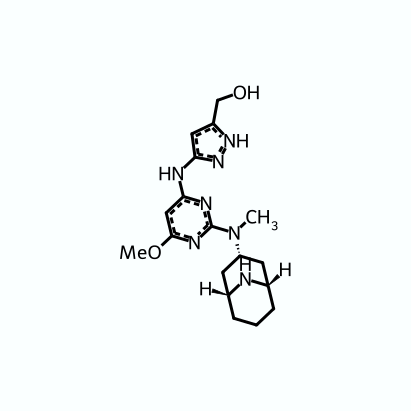 COc1cc(Nc2cc(CO)[nH]n2)nc(N(C)[C@H]2C[C@H]3CCC[C@@H](C2)N3)n1